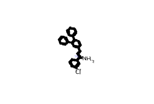 N/C(=C\Cc1ccc(C2=CCCC=C2)c(-c2ccccc2)c1)c1cccc(Cl)c1